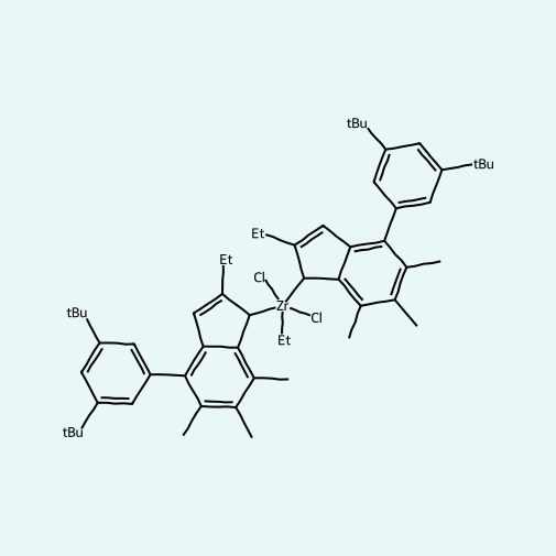 CCC1=Cc2c(-c3cc(C(C)(C)C)cc(C(C)(C)C)c3)c(C)c(C)c(C)c2[CH]1[Zr]([Cl])([Cl])([CH2]C)[CH]1C(CC)=Cc2c(-c3cc(C(C)(C)C)cc(C(C)(C)C)c3)c(C)c(C)c(C)c21